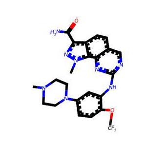 CN1CCN(c2ccc(OC(F)(F)F)c(Nc3ncc4ccc5c(C(N)=O)nn(C)c5c4n3)c2)CC1